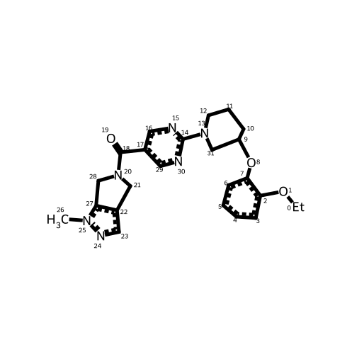 CCOc1ccccc1OC1CCCN(c2ncc(C(=O)N3Cc4cnn(C)c4C3)cn2)C1